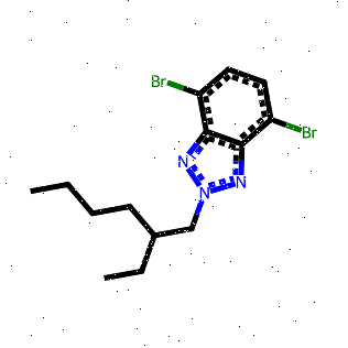 CCCCC(CC)Cn1nc2c(Br)ccc(Br)c2n1